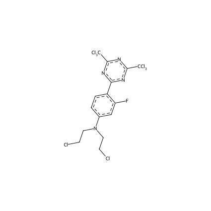 Fc1cc(N(CCCl)CCCl)ccc1-c1nc(C(Cl)(Cl)Cl)nc(C(Cl)(Cl)Cl)n1